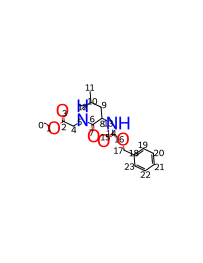 COC(=O)CNC(=O)C(CC(C)C)NC(=O)OCc1ccccc1